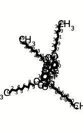 CCCCCCCCCCOC(=O)c1ccc(C(c2cccc(C(=O)OCCCCCCCCCC)c2C(=O)OCCCCCCCCCC)(C(F)(F)F)C(F)(F)F)cc1C(=O)OCCCCCCCCCC